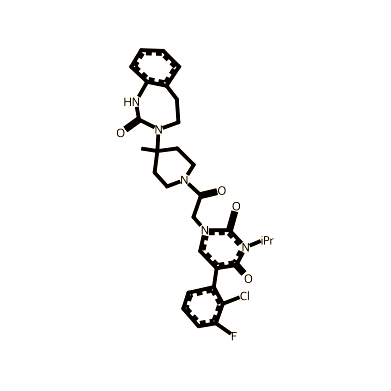 CC(C)n1c(=O)c(-c2cccc(F)c2Cl)cn(CC(=O)N2CCC(C)(N3CCc4ccccc4NC3=O)CC2)c1=O